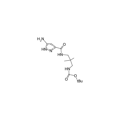 CC(C)(CNC(=O)OC(C)(C)C)CNC(=O)c1cc(N)[nH]n1